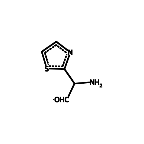 NC([C]=O)c1nccs1